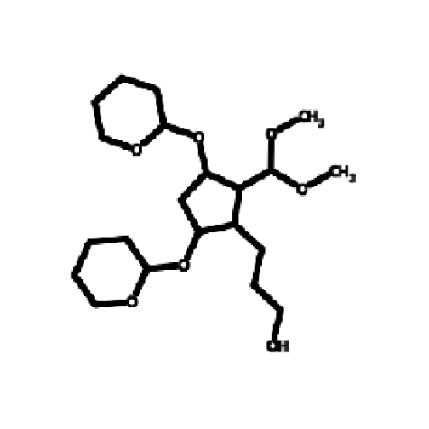 COC(OC)C1C(OC2CCCCO2)CC(OC2CCCCO2)C1CCCO